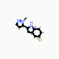 Cn1nccc1-c1cc2cc(F)ccc2[nH]1